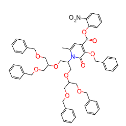 Cc1cc(C(=O)Oc2ccccc2[N+](=O)[O-])c(OCc2ccccc2)c(=O)n1C(COC(COCc1ccccc1)COCc1ccccc1)COC(COCc1ccccc1)COCc1ccccc1